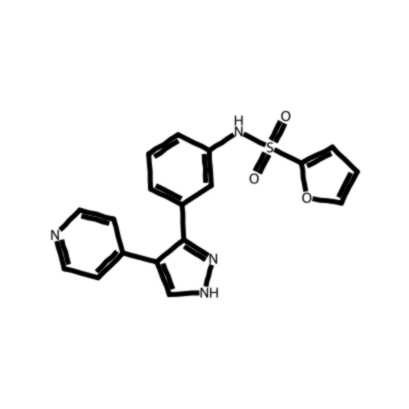 O=S(=O)(Nc1cccc(-c2n[nH]cc2-c2ccncc2)c1)c1ccco1